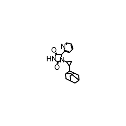 O=C1NC(=O)N(C2CC2C2C3CC4CC(C3)CC2C4)C1c1ccccn1